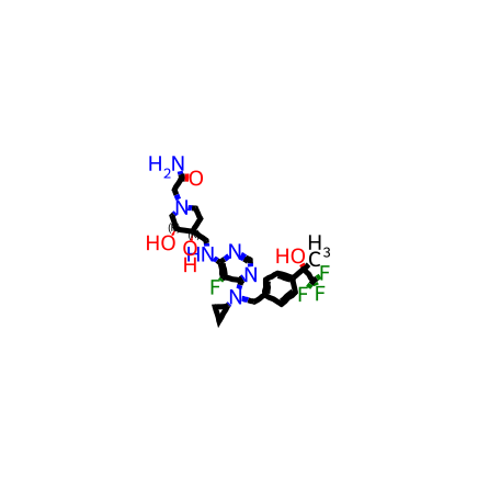 CC(O)(c1ccc(CN(c2ncnc(NC[C@]3(O)CCN(CC(N)=O)C[C@H]3O)c2F)C2CC2)cc1)C(F)(F)F